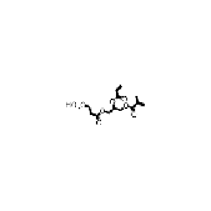 C=CC(=O)OC(COC(=O)CCC(=O)O)COC(=O)C(=C)C